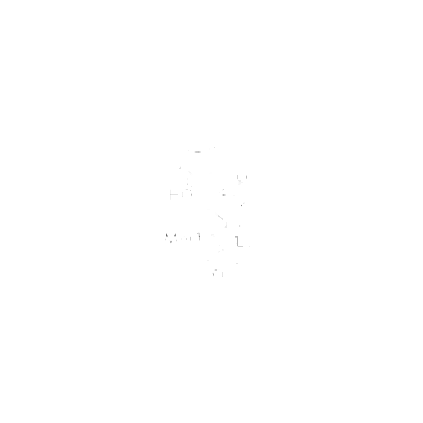 CCC1(C(OC)c2ccc(O)c(-c3ccccc3O)c2)COC1